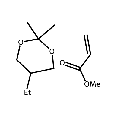 C=CC(=O)OC.CCC1COC(C)(C)OC1